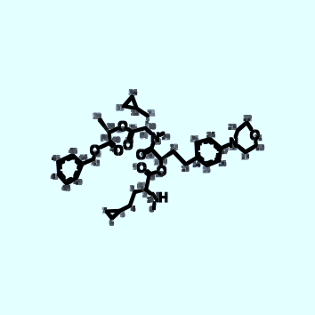 CN[C@@H](CCC1CC1)C(=O)O[C@H](CCc1ccc(N2CCOCC2)cc1)C(=O)N(C)[C@@H](CC1CC1)C(=O)O[C@H](C)C(=O)OCc1ccccc1